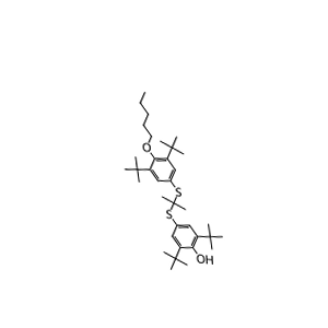 CCCCCOc1c(C(C)(C)C)cc(SC(C)(C)Sc2cc(C(C)(C)C)c(O)c(C(C)(C)C)c2)cc1C(C)(C)C